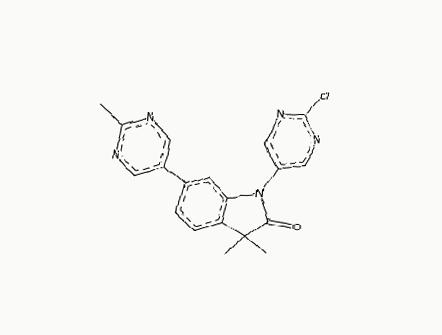 Cc1ncc(-c2ccc3c(c2)N(c2cnc(Cl)nc2)C(=O)C3(C)C)cn1